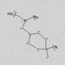 CC1(C#N)CCC(CN(C(=O)O)C(C)(C)C)CC1